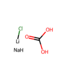 O=C(O)O.[Li][Cl].[NaH]